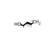 [CH2]/C=[C]/CO